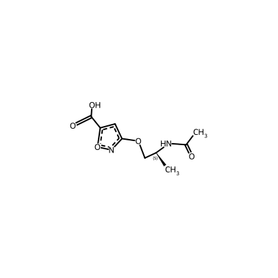 CC(=O)N[C@@H](C)COc1cc(C(=O)O)on1